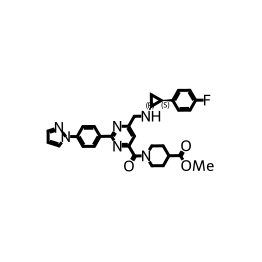 COC(=O)C1CCN(C(=O)c2cc(CN[C@@H]3C[C@H]3c3ccc(F)cc3)nc(-c3ccc(-n4cccn4)cc3)n2)CC1